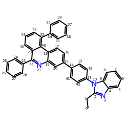 CCc1nc2ccccc2n1-c1ccc(-c2ccc3c(c2)nc(-c2ccccc2)c2cccc(-c4ccccc4)c23)cc1